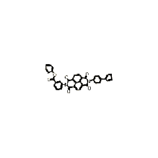 O=C(Oc1ccccc1)c1cccc(N2C(=O)c3ccc4c5c(ccc(c35)C2=O)C(=O)N(c2ccc(C3=CCC=C3)cc2)C4=O)c1